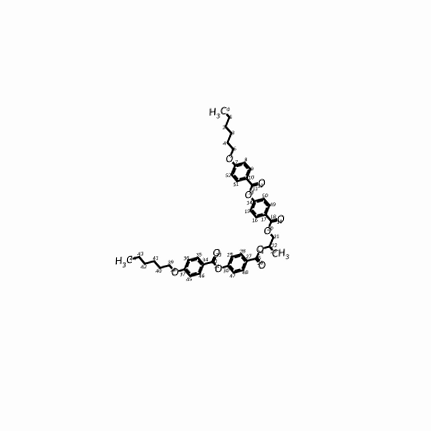 CCCCCCOc1ccc(C(=O)Oc2ccc(C(=O)OCC(C)OC(=O)c3ccc(OC(=O)c4ccc(OCCCCCC)cc4)cc3)cc2)cc1